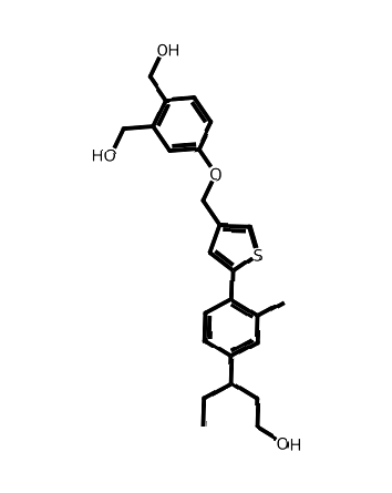 CCC(CCO)c1ccc(-c2cc(COc3ccc(CO)c(CO)c3)cs2)c(C)c1